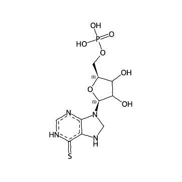 O=P(O)(O)OC[C@@H]1O[C@H](N2CNc3c2nc[nH]c3=S)C(O)C1O